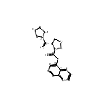 O=C([C@@H]1CSCN1C(=O)Cc1cccc2ccccc12)N1CCCC1